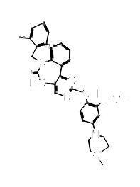 COc1cc(N2CCN(C)CC2)ccc1Nc1ncc2c(n1)-c1ccccc1N(Cc1c(F)cccc1Cl)C(=O)N2